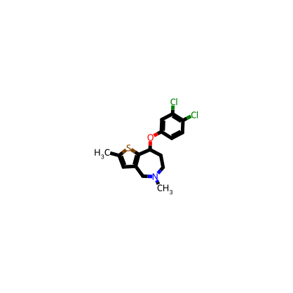 Cc1cc2c(s1)C(Oc1ccc(Cl)c(Cl)c1)CCN(C)C2